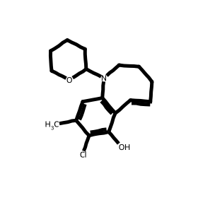 Cc1cc2c(c(O)c1Cl)/C=C/CCCN2C1CCCCO1